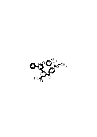 CCOC(=O)N1CCN(C(=O)C(CCC(=O)O)NC(=O)c2cc(O[C@H]3CCCN(C)C3)nc(-c3ccccc3)n2)CC1